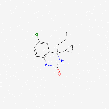 CCCC1(C2CC2)c2cc(Cl)ccc2NC(=O)N1C